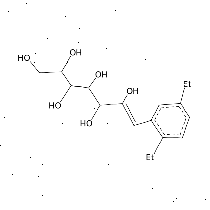 CCc1ccc(CC)c(C=C(O)C(O)C(O)C(O)C(O)CO)c1